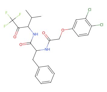 CC(C)C(NC(=O)C(Cc1ccccc1)NC(=O)COc1ccc(Cl)c(Cl)c1)C(=O)C(F)(F)F